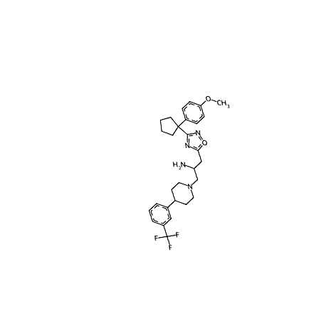 COc1ccc(C2(c3noc(CC(N)CN4CCC(c5cccc(C(F)(F)F)c5)CC4)n3)CCCC2)cc1